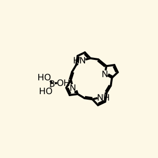 C1=Cc2cc3ccc(cc4nc(cc5ccc(cc1n2)[nH]5)C=C4)[nH]3.OB(O)O